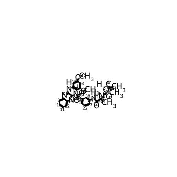 COc1cc(Nc2nc3ccccc3nc2NS(=O)(=O)c2cccc(NC(=O)[C@H](C)NC(=O)OC(C)(C)C)c2)cc(OC)c1